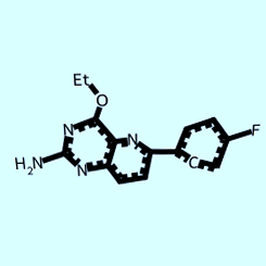 CCOc1nc(N)nc2ccc(-c3ccc(F)cc3)nc12